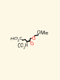 COCCOCC(=O)C(CCC(=O)O)C(=O)O